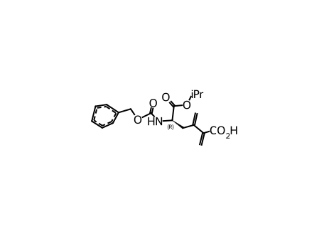 C=C(C[C@@H](NC(=O)OCc1ccccc1)C(=O)OC(C)C)C(=C)C(=O)O